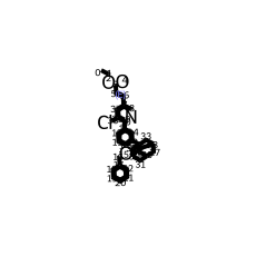 CCOC(=O)/C=C/c1cnc(-c2ccc(OCc3ccccc3)c(C34CC5CC(CC(C5)C3)C4)c2)c(Cl)c1